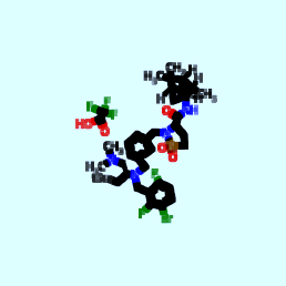 C[C@@H]1[C@@H](NC(=O)C2CCS(=O)(=O)N2Cc2cccc(CN(Cc3c(F)ccc(Br)c3F)[C@H](CN(C)C)CC(C)(C)C)c2)C[C@H]2C[C@@H]1C2(C)C.O=C(O)C(F)(F)F